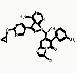 Cc1cccc(-c2c([C@H](C)n3nc(-c4cnc(OC5CC5)nc4)c4c(N)ncnc43)cc3scc(Cl)n3c2=O)c1